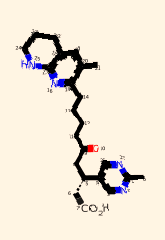 Cc1ncc([C@H](CC(=O)O)CC(=O)CCCCc2nc3c(cc2C)CCCN3)cn1